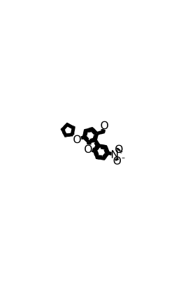 O=Cc1ccc(OC2CCCC2)c2oc3ccc([N+](=O)[O-])cc3c12